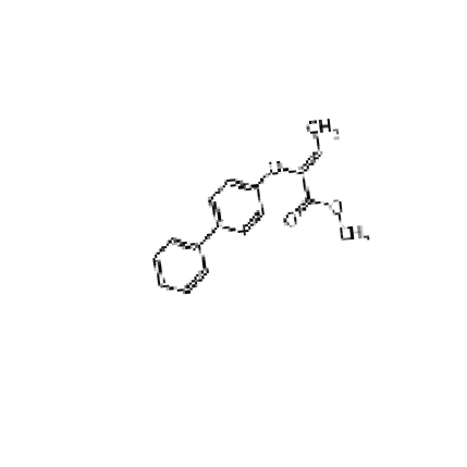 C/C=C(\Oc1ccc(-c2ccccc2)cc1)C(=O)OC